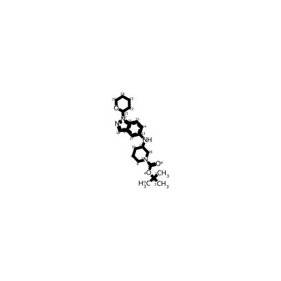 CC(C)(C)OC(=O)N1CCCC(Nc2ccc3c(cnn3C3CCCCO3)c2)C1